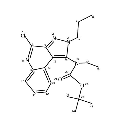 CCCn1nc2c(Cl)nc3ccccc3c2c1N(CC)C(=O)OC(C)(C)C